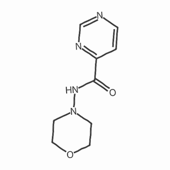 O=C(NN1CCOCC1)c1ccncn1